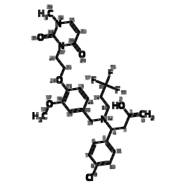 C=C(O)CC(c1ccc(Cl)cc1)N(CCC(F)(F)F)Cc1ccc(OCCn2c(=O)ccn(C)c2=O)c(OC)c1